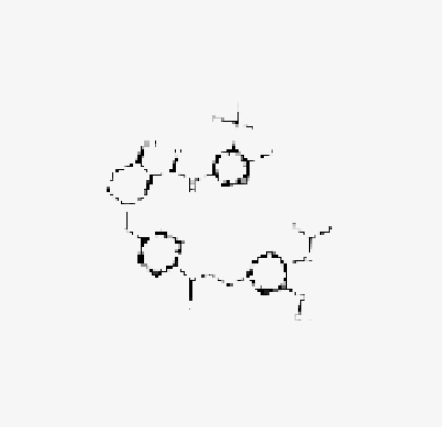 COc1cc(CNC(=O)c2ccc(CN3C=C(C(=O)Nc4ccc(F)c(C(F)(F)F)c4)C(=N)CC3)cc2)ccc1OC(F)F